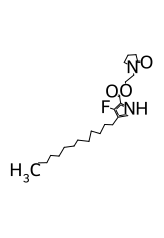 CCCCCCCCCCCCCc1c[nH]c(C(=O)OCCN2CCCC2=O)c1F